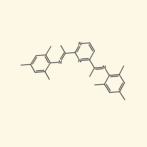 CC(=Nc1c(C)cc(C)cc1C)c1ccnc(C(C)=Nc2c(C)cc(C)cc2C)n1